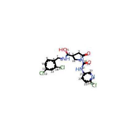 O=C1CC(C(O)NCc2ccc(Cl)cc2Cl)CN1C(=O)Nc1ccc(Cl)nc1